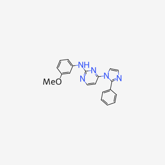 COc1cccc(Nc2nccc(-n3ccnc3-c3ccccc3)n2)c1